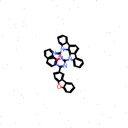 c1ccc(-c2nc(-c3ccc4oc5ccccc5c4c3)nc(-n3c4ccccc4c4ccc5c6ccccc6n(-c6nc7ccccc7o6)c5c43)n2)cc1